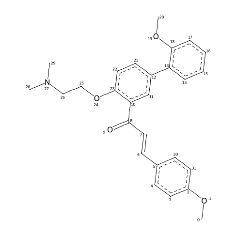 COc1ccc(C=CC(=O)c2cc(-c3ccccc3OC)ccc2OCCN(C)C)cc1